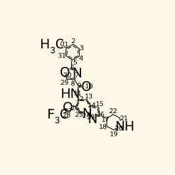 Cc1cccc(-c2nc(C(=O)Nc3cc4cc(C5CCNCC5)nn4cc3OC(F)(F)F)co2)c1